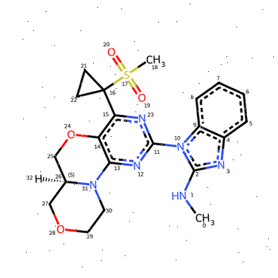 CNc1nc2ccccc2n1-c1nc2c(c(C3(S(C)(=O)=O)CC3)n1)OC[C@@H]1COCCN21